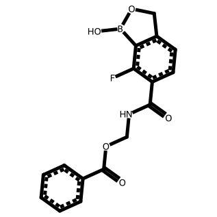 O=C(OCNC(=O)c1ccc2c(c1F)B(O)OC2)c1ccccc1